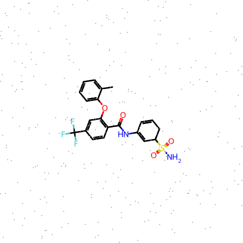 Cc1ccccc1Oc1cc(C(F)(F)F)ccc1C(=O)NC1=CC(S(N)(=O)=O)CC=C1